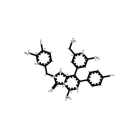 Cc1cc(-c2c(-c3ccc(F)cc3)nc(N)n3c(=O)n(Cc4ccc(F)c(N)n4)nc23)cc(CO)n1